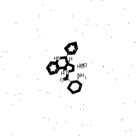 Cl.Cl.N[C@@H]1CCCC[C@@H]1C(=O)N1CC[C@@H]2[C@@H](c3ccccc3)Nc3ccccc3[C@H]21